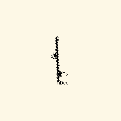 CC=CC=CC=CC=CC=CC=CC(=CC=CC=CC=CC=CC=CCC(CCCCCCCCCCCCCCC)C(N)=O)C(N)=O